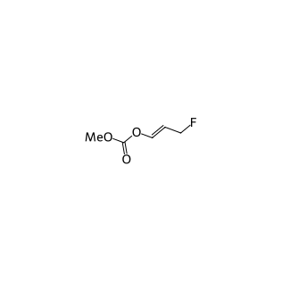 COC(=O)OC=CCF